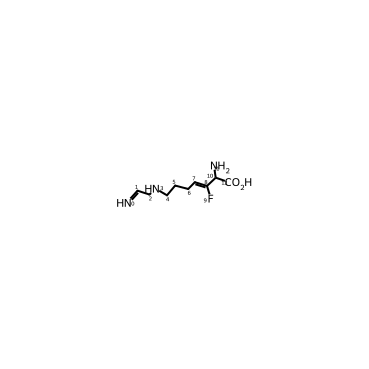 N=CCNCCC/C=C(\F)C(N)C(=O)O